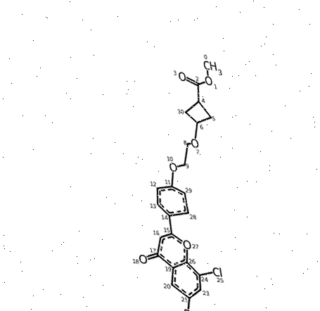 COC(=O)C1CC(OCCOc2ccc(-c3cc(=O)c4cc(Br)cc(Cl)c4o3)cc2)C1